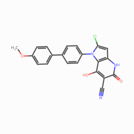 COc1ccc(-c2ccc(-n3c(Cl)cc4[nH]c(=O)c(C#N)c(O)c43)cc2)cc1